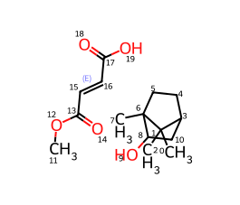 CC1(C)C2CCC1(C)C(O)C2.COC(=O)/C=C/C(=O)O